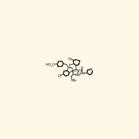 CC(C)(C)CC1N[C@@H](C(=O)Nc2cccnc2)[C@H](c2cccc(Cl)c2F)[C@]12CN(Cc1ccc(C(=O)O)cc1)c1cc(Cl)ccc12